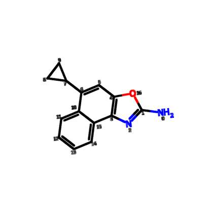 Nc1nc2c(cc(C3CC3)c3ccccc32)o1